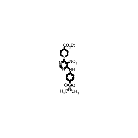 CCOC(=O)C1CCN(c2ncnc(Nc3ccc(S(=O)(=O)N(C)C)cc3)c2[N+](=O)[O-])CC1